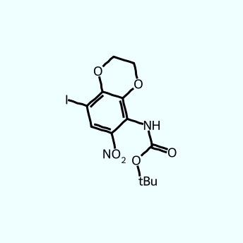 CC(C)(C)OC(=O)Nc1c([N+](=O)[O-])cc(I)c2c1OCCO2